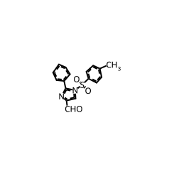 Cc1ccc(S(=O)(=O)n2cc(C=O)nc2-c2ccccc2)cc1